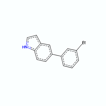 CCc1cccc(-c2ccc3[nH]ccc3c2)c1